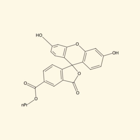 CCCOC(=O)c1ccc2c(c1)C(=O)OC21c2ccc(O)cc2Oc2cc(O)ccc21